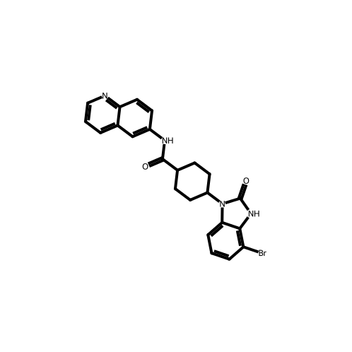 O=C(Nc1ccc2ncccc2c1)C1CCC(n2c(=O)[nH]c3c(Br)cccc32)CC1